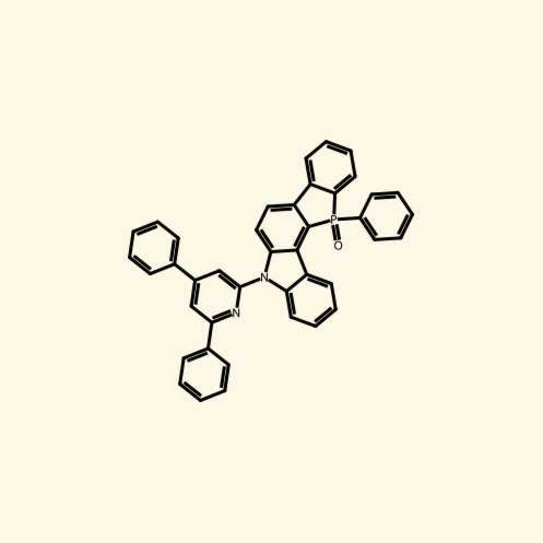 O=P1(c2ccccc2)c2ccccc2-c2ccc3c(c21)c1ccccc1n3-c1cc(-c2ccccc2)cc(-c2ccccc2)n1